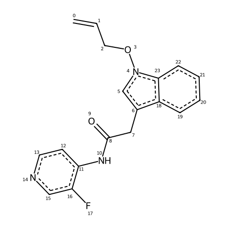 C=CCOn1cc(CC(=O)Nc2ccncc2F)c2ccccc21